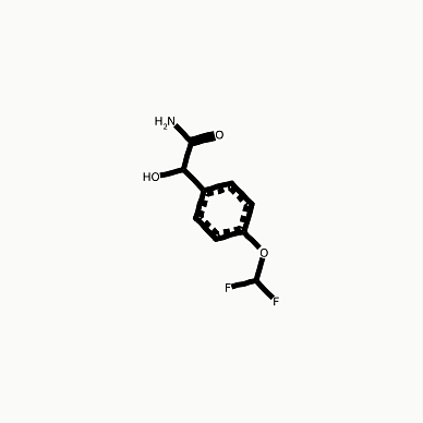 NC(=O)C(O)c1ccc(OC(F)F)cc1